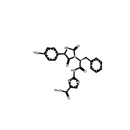 COC(=O)c1csc(NC(=O)[C@H](Cc2ccccc2)N2C(=O)NC(c3ccc(O)cc3)C2=O)n1